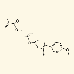 C=C(C)C(=O)OCCC(=O)Oc1ccc(-c2ccc(OC)cc2)c(F)c1